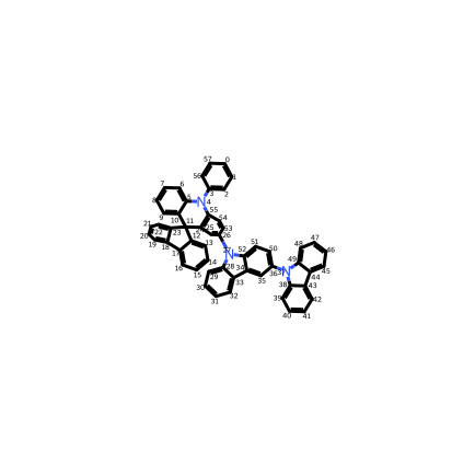 c1ccc(N2c3ccccc3C3(c4ccccc4-c4ccccc43)c3cc(-n4c5ccccc5c5cc(-n6c7ccccc7c7ccccc76)ccc54)ccc32)cc1